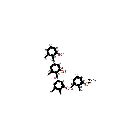 Cc1cccc([O-])c1C.Cc1cccc([O-])c1C.Cc1cccc([O-])c1C.Cc1cccc([O-])c1C.[Zr+4]